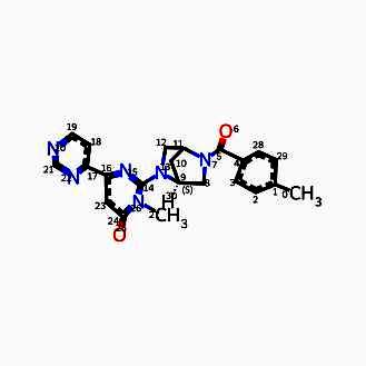 Cc1ccc(C(=O)N2C[C@@H]3CC2CN3c2nc(-c3ccncn3)cc(=O)n2C)cc1